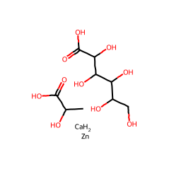 CC(O)C(=O)O.O=C(O)C(O)C(O)C(O)C(O)CO.[CaH2].[Zn]